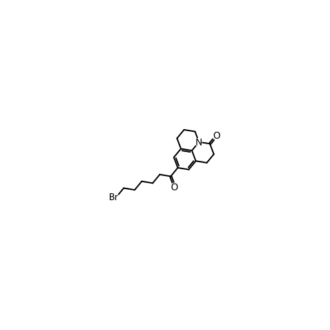 O=C(CCCCCBr)c1cc2c3c(c1)CCC(=O)N3CCC2